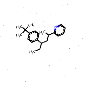 CCC(CC(C)c1ccccn1)c1ccc(C(C)(C)C)cc1